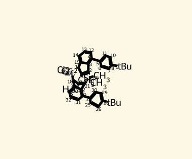 CC1=C2c3c(-c4ccc(C(C)(C)C)cc4)cccc3[CH]1[Zr+2][CH]1C(C)=C(c3c(-c4ccc(C(C)(C)C)cc4)cccc31)[Si]2(C)C.[Cl-].[Cl-]